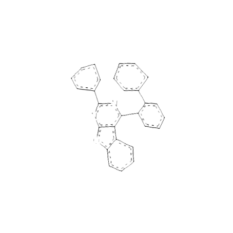 c1ccc(-c2nc(-c3ccccc3-c3ccccc3)c3c(n2)oc2ccccc23)cc1